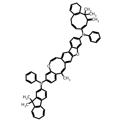 C=C1/C=C(N(c2ccccc2)c2ccc3c(c2)oc2cc4cc(C)c5ccc(N(c6ccccc6)c6ccc7c(c6)C(C)(C)C6=C7C=CCC=C6)cc5occc4cc23)\C=C/CC2=C(CCC=C2)C1(C)C